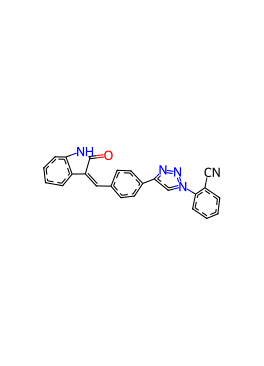 N#Cc1ccccc1-n1cc(-c2ccc(/C=C3\C(=O)Nc4ccccc43)cc2)nn1